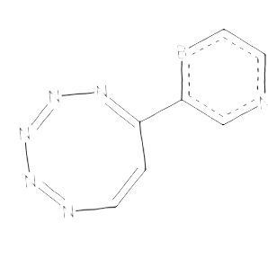 b1ccncc1C1=NN=NN=NC=C1